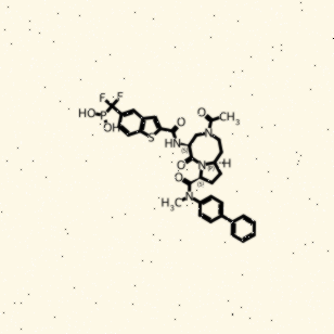 CC(=O)N1CC[C@H]2CC[C@@H](C(=O)N(C)c3ccc(-c4ccccc4)cc3)N2C(=O)[C@@H](NC(=O)c2cc3cc(C(F)(F)P(O)O)ccc3s2)C1